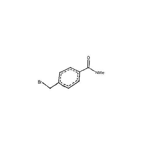 CNC(=O)c1ccc(CBr)cc1